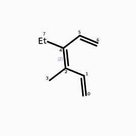 C=C/C(C)=C(\C=C)CC